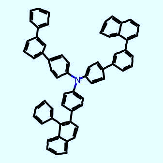 c1ccc(-c2cccc(-c3ccc(N(c4ccc(-c5cccc(-c6cccc7ccccc67)c5)cc4)c4ccc(-c5ccc6ccccc6c5-c5ccccc5)cc4)cc3)c2)cc1